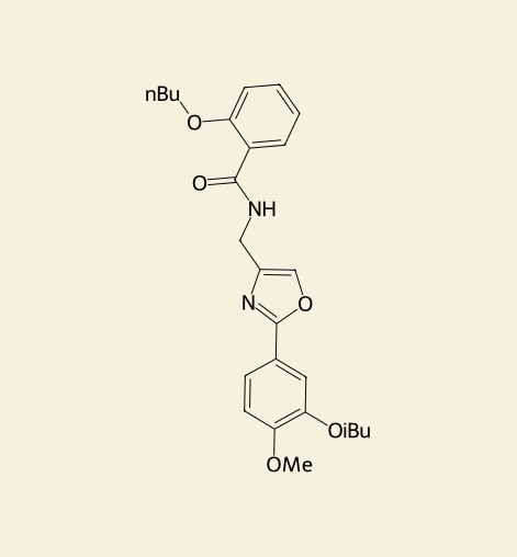 CCCCOc1ccccc1C(=O)NCc1coc(-c2ccc(OC)c(OCC(C)C)c2)n1